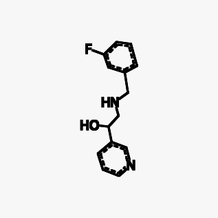 OC(CNCc1cccc(F)c1)c1cccnc1